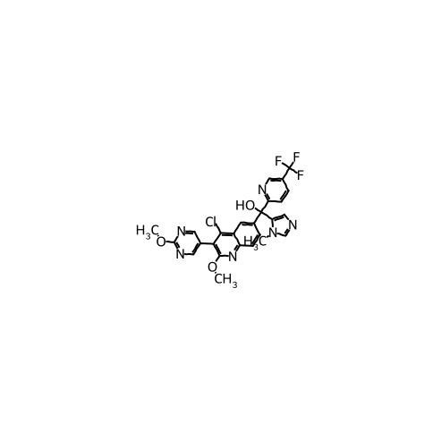 COc1ncc(-c2c(OC)nc3ccc(C(O)(c4ccc(C(F)(F)F)cn4)c4cncn4C)cc3c2Cl)cn1